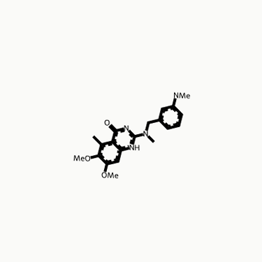 CNc1cccc(CN(C)c2nc(=O)c3c(C)c(OC)c(OC)cc3[nH]2)c1